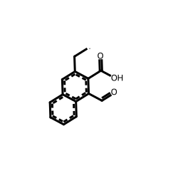 [CH2]Cc1cc2ccccc2c(C=O)c1C(=O)O